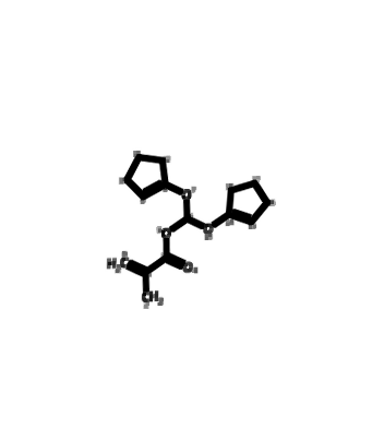 C=C(C)C(=O)OC(OC1=CCCC1)OC1=CCCC1